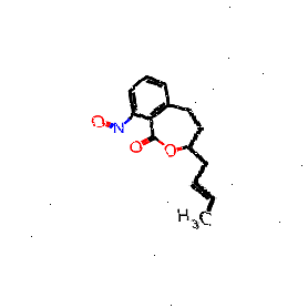 C/C=C/CC1CCc2cccc(N=O)c2C(=O)O1